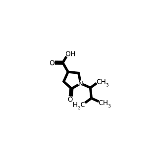 CC(C)C(C)N1CC(C(=O)O)CC1=O